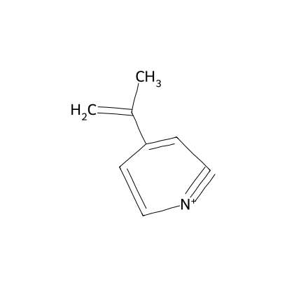 C=C(C)c1cc#[n+]cc1